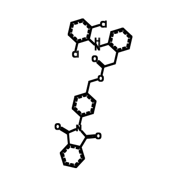 O=C(Cc1ccccc1Nc1c(Cl)cccc1Cl)OCc1ccc(N2C(=O)c3ccccc3C2=O)cc1